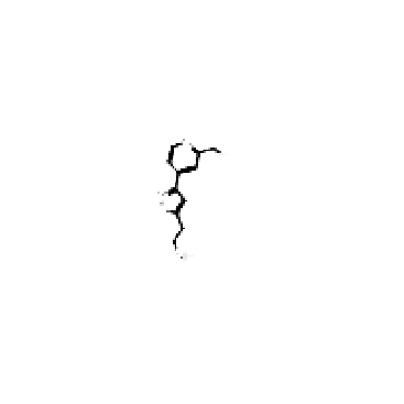 CCc1cc(-c2cc(CCN)on2)ccn1